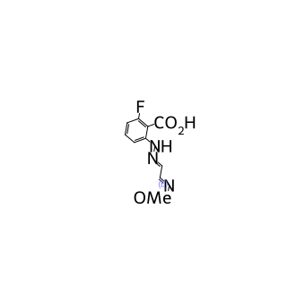 CO/N=C/C=NNc1cccc(F)c1C(=O)O